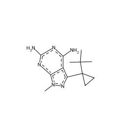 Cn1nc(C2(C(C)(C)C)CC2)c2c(N)nc(N)nc21